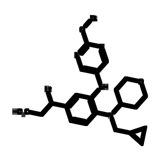 CCOc1ncc(Nc2cc(C(CC)CC(=O)O)ccc2N(CC2CC2)C2CCOCC2)cn1